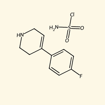 Fc1ccc(C2=CCNCC2)cc1.NS(=O)(=O)Cl